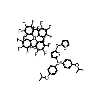 CC(C)Oc1ccc([S+](c2ccc(OC(C)C)cc2)c2ccc(Sc3cccs3)s2)cc1.Fc1c(F)c(F)c([B-](c2c(F)c(F)c(F)c(F)c2F)(c2c(F)c(F)c(F)c(F)c2F)c2c(F)c(F)c(F)c(F)c2F)c(F)c1F